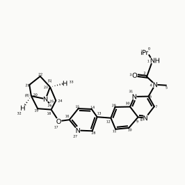 CC(C)NC(=O)N(C)c1cnc2ccc(-c3ccc(OC4C[C@H]5CC[C@@H](C4)N5C)nc3)cc2n1